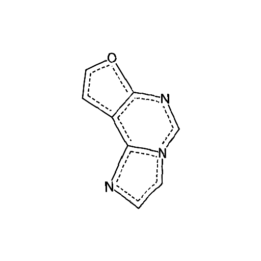 c1cn2cnc3occc3c2n1